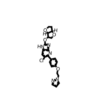 Clc1cc2[nH]c(OC3CO[C@@H]4CCO[C@H]34)nc2nc1-c1ccc(OCCn2cccn2)cc1